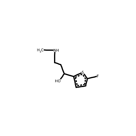 CNCCC(O)c1ccc(F)s1